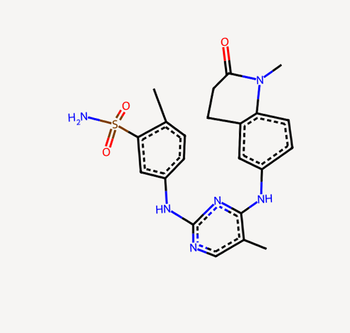 Cc1ccc(Nc2ncc(C)c(Nc3ccc4c(c3)CCC(=O)N4C)n2)cc1S(N)(=O)=O